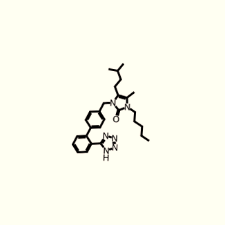 CCCCCn1c(C)c(CCC(C)C)n(Cc2ccc(-c3ccccc3-c3nnn[nH]3)cc2)c1=O